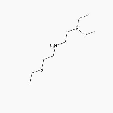 CCSCCNCCP(CC)CC